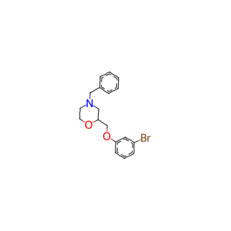 Brc1cccc(OCC2CN(Cc3ccccc3)CCO2)c1